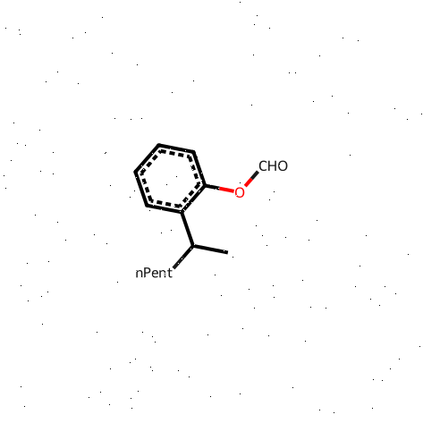 CCCCCC(C)c1ccccc1OC=O